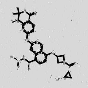 CC[C@@H](N[S@@+]([O-])C(C)(C)C)c1ccc(OC2CN(C(=O)[C@@H]3C[C@@H]3F)C2)c2cnc(Nc3ccc4c(n3)[C@@H](C)C(C)(C)OC4=O)cc12